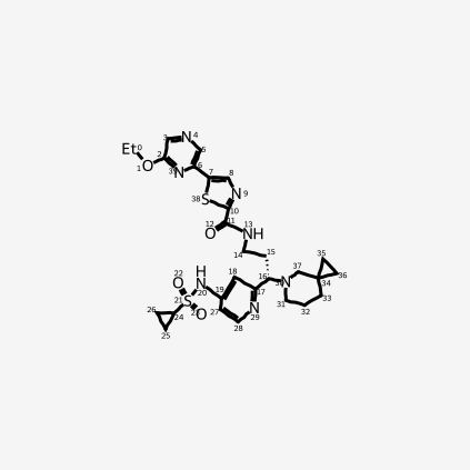 CCOc1cncc(-c2cnc(C(=O)NCC[C@@H](c3cc(NS(=O)(=O)C4CC4)ccn3)N3CCCC4(CC4)C3)s2)n1